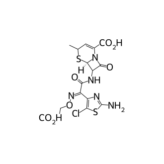 CC1C=C(C(=O)O)N2C(=O)C(NC(=O)/C(=N/OCC(=O)O)c3nc(N)sc3Cl)[C@H]2S1